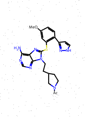 COc1ccc(-c2cc[nH]n2)c(Sc2nc3c(N)ncnc3n2CCC2CCN(C(C)=O)C2)c1